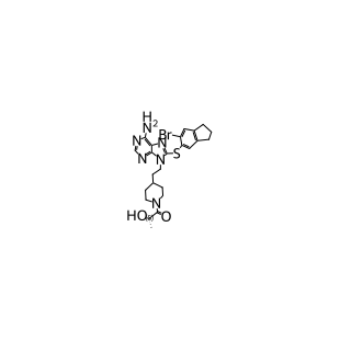 C[C@H](O)C(=O)N1CCC(CCn2c(Sc3cc4c(cc3Br)CCC4)nc3c(N)ncnc32)CC1